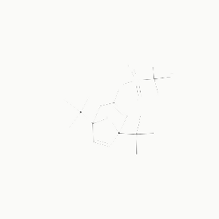 CC(C)(C)C12C=CC(C(C)(C)C)(CC(OS(=O)(=O)C(F)(F)F)=C1)O2